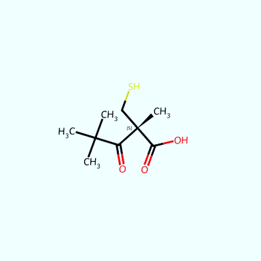 CC(C)(C)C(=O)[C@](C)(CS)C(=O)O